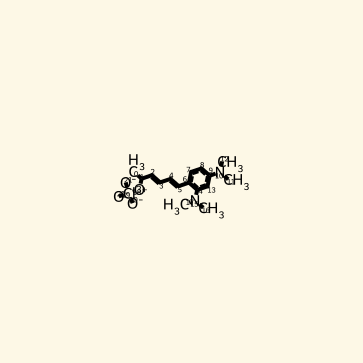 CC(C=CC=Cc1ccc(N(C)C)cc1N(C)C)O[Cl+3]([O-])([O-])[O-]